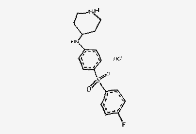 Cl.O=S(=O)(c1ccc(F)cc1)c1ccc(NC2CCNCC2)cc1